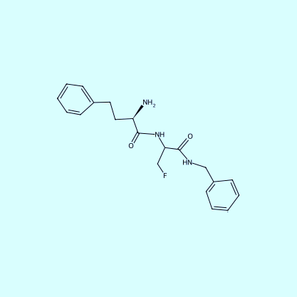 N[C@H](CCc1ccccc1)C(=O)NC(CF)C(=O)NCc1cc[c]cc1